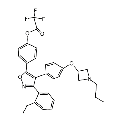 CCCN1CC(Oc2ccc(-c3c(-c4ccccc4CC)noc3-c3ccc(OC(=O)C(F)(F)F)cc3)cc2)C1